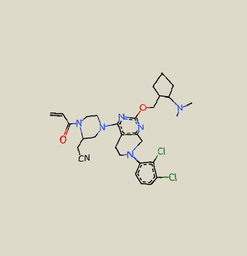 C=CC(=O)N1CCN(c2nc(OCC3CCCC3N(C)C)nc3c2CCN(c2cccc(Cl)c2Cl)C3)CC1CC#N